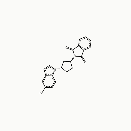 O=C1c2ccccc2C(=O)N1[C@H]1CC[C@H](n2ccc3cc(Br)ccc32)C1